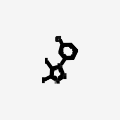 Clc1cccc(-n2nnc(I)c2I)c1